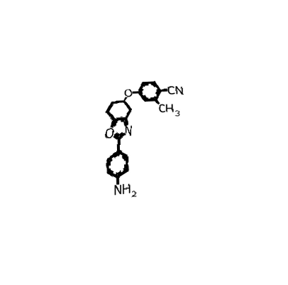 Cc1cc(O[C@@H]2CCc3oc(-c4ccc(N)cc4)nc3C2)ccc1C#N